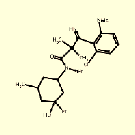 CCC1(O)CC(C)CC(N(C(=O)C(C)(C)C(=N)c2c(Cl)cccc2NC)C(C)C)C1